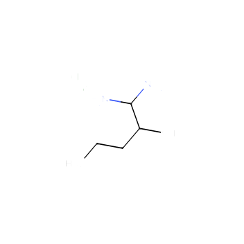 CCCC(C)C(N)N.Cl.Cl